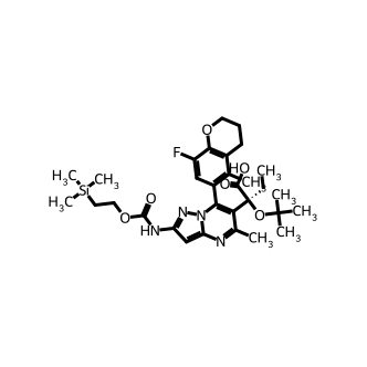 CC[C@@](OC(C)(C)C)(C(=O)O)c1c(C)nc2cc(NC(=O)OCC[Si](C)(C)C)nn2c1-c1cc(F)c2c(c1C)CCCO2